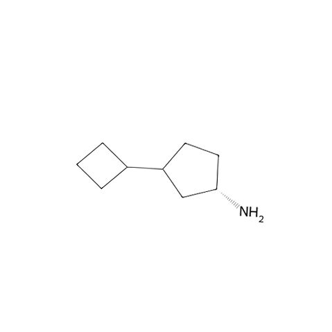 N[C@H]1CCC(C2CCC2)C1